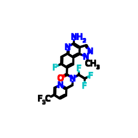 Cn1ncc2c(N)nc3cc(F)c(C(=O)N(Cc4ccc(C(F)(F)F)cn4)C(F)C(F)F)cc3c21